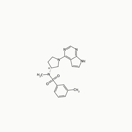 Cc1cccc(S(=O)(=O)N(C)[C@@H]2CCN(c3ncnc4[nH]ccc34)C2)c1